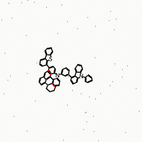 c1ccc(-n2c3ccccc3c3c(-c4cccc(N(c5ccc(-c6cccc7c6sc6ccccc67)cc5)c5ccccc5-c5cccc6cccc(C7CCCCC7)c56)c4)cccc32)cc1